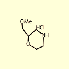 COCC1CNCCO1.Cl